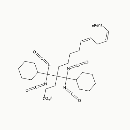 CCCCC/C=C\C/C=C\CCCCC(CCC(=O)O)(C(N=C=O)(N=C=O)C1CCCCC1)C(N=C=O)(N=C=O)C1CCCCC1